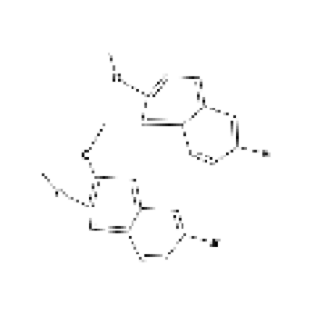 COc1cc2ccc(Br)cc2cc1OC.COc1ccc2cc(Br)ccc2c1